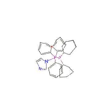 c1ccc(P(c2ccccc2)(c2ccccc2)(n2ccnc2)P(C2CCCCC2)C2CCCCC2)cc1